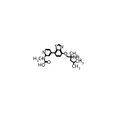 CC(C)CC(C)(N)COc1ccc(-c2ccnc(N(C)C(=O)O)c2)c2scnc12